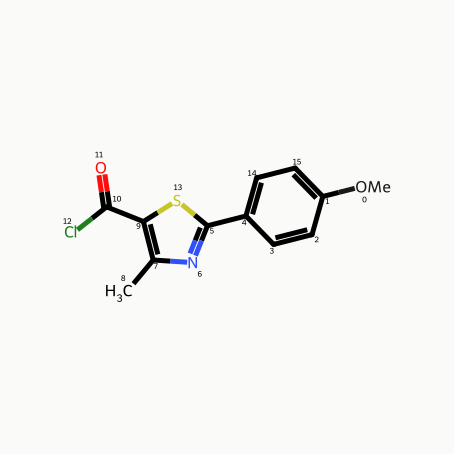 COc1ccc(-c2nc(C)c(C(=O)Cl)s2)cc1